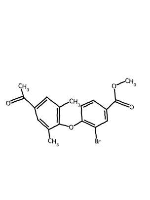 COC(=O)c1ccc(Oc2c(C)cc(C(C)=O)cc2C)c(Br)c1